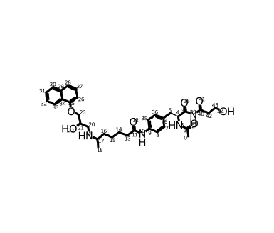 CC(=O)N[C@@H](Cc1ccc(NC(=O)CCCCC(C)NCC(O)COc2cccc3ccccc23)cc1)C(=O)NC(=O)CCO